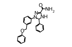 NC(=O)C1=NN(c2cccc(COc3ccccc3)c2)C(c2ccccc2)N1